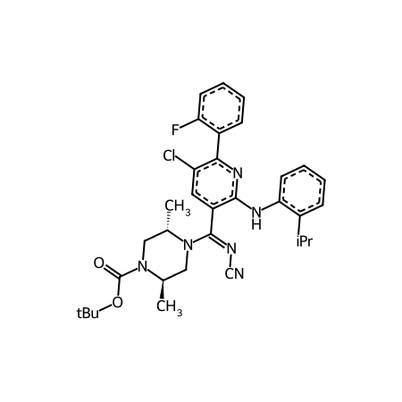 CC(C)c1ccccc1Nc1nc(-c2ccccc2F)c(Cl)cc1C(=NC#N)N1C[C@@H](C)N(C(=O)OC(C)(C)C)C[C@@H]1C